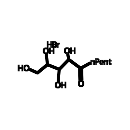 Br.CCCCCC(=O)C(O)C(O)C(O)CO